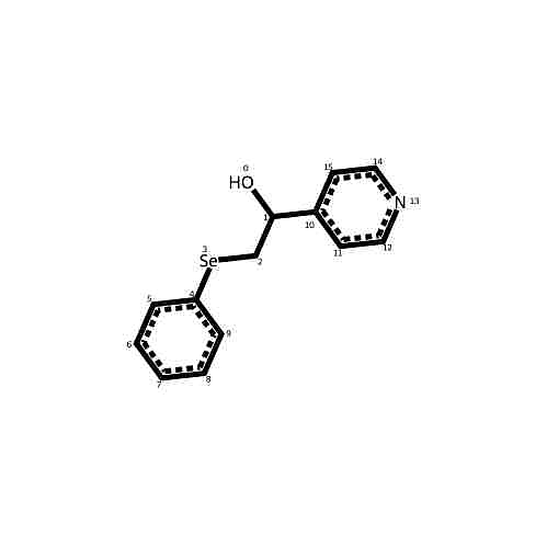 OC(C[Se]c1ccccc1)c1ccncc1